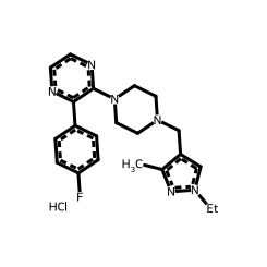 CCn1cc(CN2CCN(c3nccnc3-c3ccc(F)cc3)CC2)c(C)n1.Cl